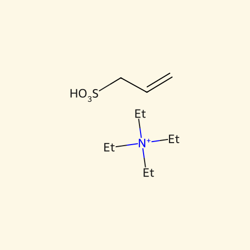 C=CCS(=O)(=O)O.CC[N+](CC)(CC)CC